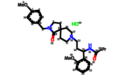 COc1ccc(CN2CCC3(CCN(CCC(NC(=O)C(C)C)c4ccccc4OC)CC3)C2=O)cc1.Cl